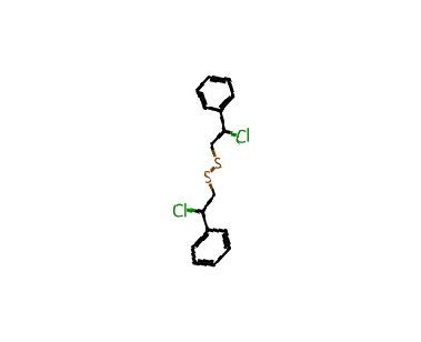 ClC(CSSCC(Cl)c1ccccc1)c1ccccc1